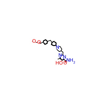 COCOCc1ccc(Cc2ccc(N3CCC(Cc4nc(C)c(O)c(C(N)=O)n4)CC3)cc2)cc1